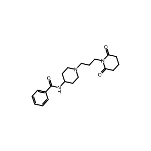 O=C(NC1CCN(CCCN2C(=O)CCCC2=O)CC1)c1ccccc1